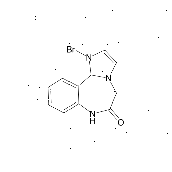 O=C1CN2C=CN(Br)C2c2ccccc2N1